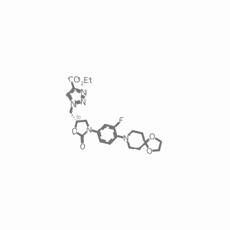 CCOC(=O)c1cn(C[C@@H]2CN(c3ccc(N4CCC5(CC4)OCCO5)c(F)c3)C(=O)O2)nn1